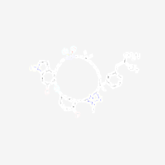 Cn1nc2nc1-c1cc(ccc1F)Oc1c(F)cc3[nH]ccc3c1CCS(=O)(=O)CC(C)(C)CCCC2(C)c1cccc(CC(C(=O)O)C(F)(F)F)c1